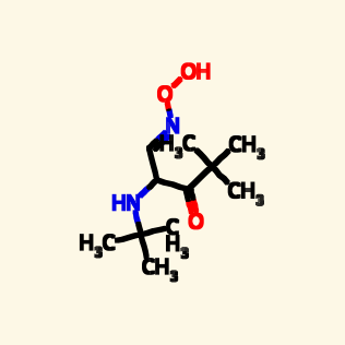 CC(C)(C)NC(C=NOO)C(=O)C(C)(C)C